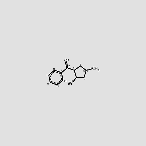 CC(C)C1CN(C)CC1C(=O)c1ccccc1